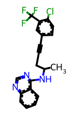 CC(CC#Cc1ccc(Cl)c(C(F)(F)F)c1)Nc1ncnc2ccccc12